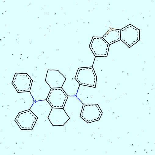 c1ccc(N(c2ccccc2)c2c3c(c(N(c4ccccc4)c4ccc(-c5ccc6sc7ccccc7c6c5)cc4)c4c2CCCC4)CCCC3)cc1